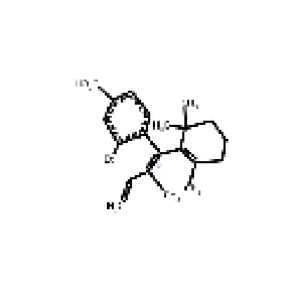 C=C/C(C)=C(/C1=C(C)CCCC1(C)C)c1ccc(C(=O)O)cc1CC